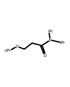 CCCOCCC(=O)N(C(C)C)C(C)C